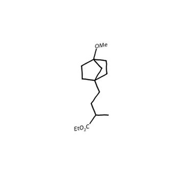 CCOC(=O)C(C)CCC12CCC(OC)(CC1)C2